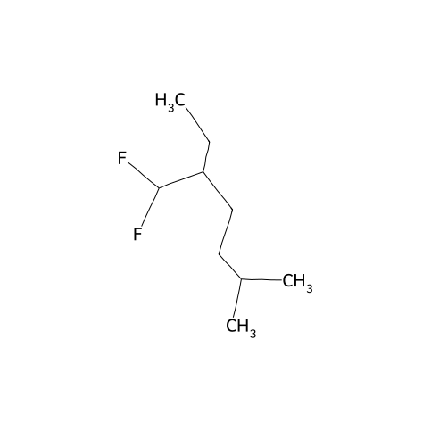 CCC(CCC(C)C)C(F)F